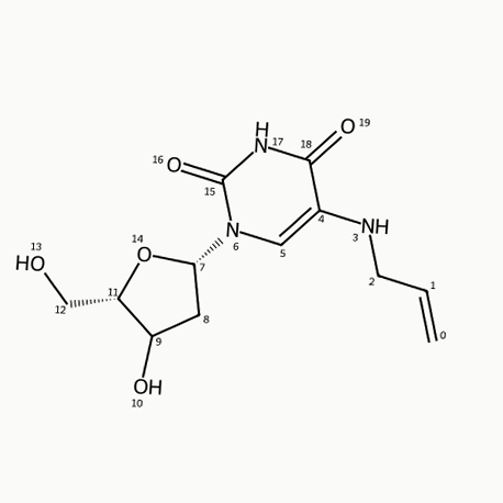 C=CCNc1cn([C@@H]2CC(O)[C@H](CO)O2)c(=O)[nH]c1=O